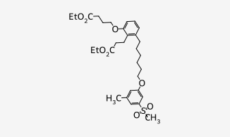 CCOC(=O)CCCOc1cccc(CCCCCCOc2cc(C)cc(S(C)(=O)=O)c2)c1CCC(=O)OCC